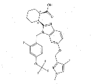 Cn1cc(F)c(COc2ccc3nc([C@H]4CCCC[C@H]4C(=O)O)n(Cc4ccc(OC(F)(F)F)cc4F)c3c2)n1